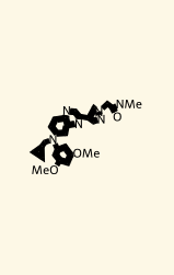 CNC(=O)Cn1cc(-c2cnc3ccc(N(CC4CC4)c4cc(OC)cc(OC)c4)cc3n2)cn1